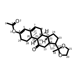 CC(=O)OC1=CC2=CC[C@@H]3[C@H](C(=O)C[C@]4(C)C(C5(C)OCCO5)CC[C@@H]34)[C@@]2(C)CC1